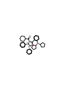 O=C(C1CCCCC1)N1C(c2ccccc2P(C2CCCC2)C2CCCC2)=N[C@H](c2ccccc2)[C@H]1c1ccccc1